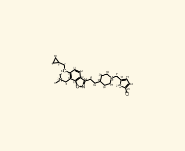 CN(C)Cc1c(OCC2CC2)ccc2c(CCC3CCN(Cc4ccc(Cl)s4)CC3)noc12